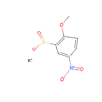 COc1ccc([N+](=O)[O-])cc1S(=O)[O-].[K+]